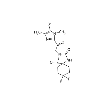 Cc1nc(C(=O)CN2C(=O)NC3(CCC(F)(F)CC3)C2=O)n(C)c1Br